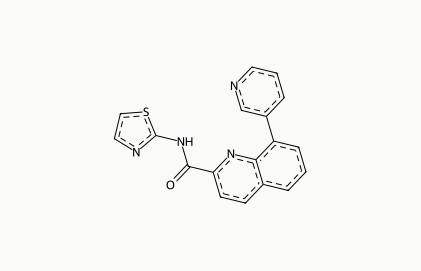 O=C(Nc1nccs1)c1ccc2cccc(-c3cccnc3)c2n1